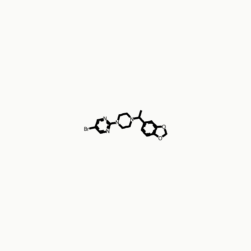 CC(c1ccc2c(c1)OCO2)N1CCN(c2ncc(Br)cn2)CC1